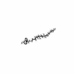 [CH2]COC(=O)CCCCCCCCCCCCCCCC